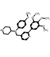 COc1cc(-c2cc(CN(c3ccc(SC)cc3)C3CCNCC3)ccn2)cc(OC)c1OC